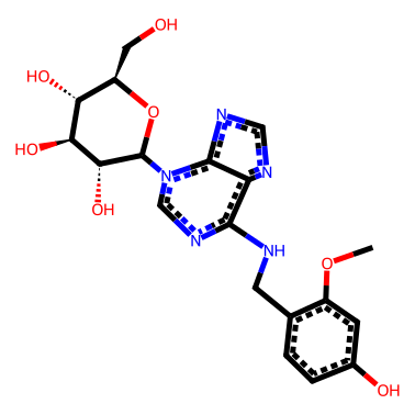 COc1cc(O)ccc1CNc1ncn(C2O[C@H](CO)[C@@H](O)[C@H](O)[C@H]2O)c2ncnc1-2